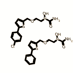 NC(=O)N(O)CCOCc1ccc(-c2ccc(Cl)cc2)s1.NC(=O)N(O)CCOCc1ccc(-c2ccccc2)s1